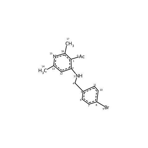 CC(=O)c1c(NCc2ccc(Br)cc2)cc(C)nc1C